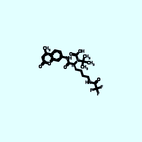 Cc1cc(=O)oc2cc(NC(=O)[C@H](CCCCNC(=O)C(F)(F)F)N(C(=O)O)C(C)(C)C)ccc12